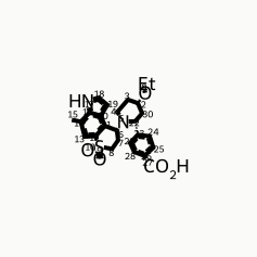 CCO[C@@H]1CCN(C2CCS(=O)(=O)c3cc(C)c4[nH]ccc4c32)[C@@H](c2ccc(C(=O)O)cc2)C1